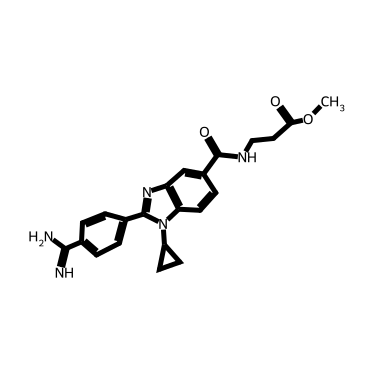 COC(=O)CCNC(=O)c1ccc2c(c1)nc(-c1ccc(C(=N)N)cc1)n2C1CC1